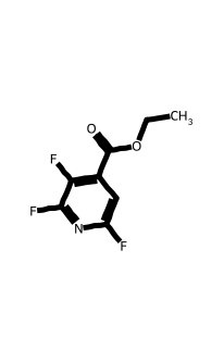 CCOC(=O)c1cc(F)nc(F)c1F